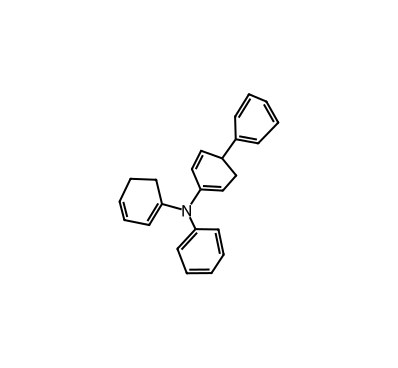 C1=CCCC(N(C2=CCC(c3ccccc3)C=C2)c2ccccc2)=C1